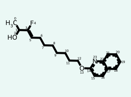 CC(O)/C(F)=C/CCCCCCCOc1ccc2ccccc2n1